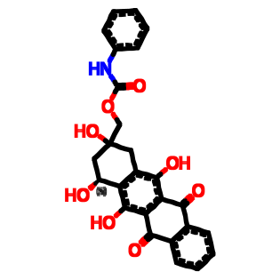 O=C(Nc1ccccc1)OCC1(O)Cc2c(O)c3c(c(O)c2[C@@H](O)C1)C(=O)c1ccccc1C3=O